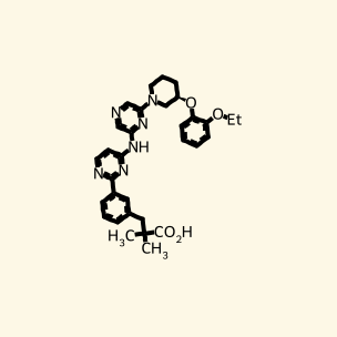 CCOc1ccccc1O[C@@H]1CCCN(c2cncc(Nc3ccnc(-c4cccc(CC(C)(C)C(=O)O)c4)n3)n2)C1